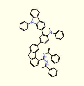 C=C(/N=C(\N=C(/C)c1ccccc1)c1cccc2c1-c1cc(-c3ccc(N(C)c4ccccc4)c(-c4ccc5c6ccccc6n(-c6ccccc6)c5c4)c3)ccc1C2)c1ccccc1